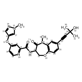 CN1C(=O)C(NC(=O)c2cc(Oc3cnn(C)c3)ccn2)COc2ccc(C#CC(C)(C)O)cc21